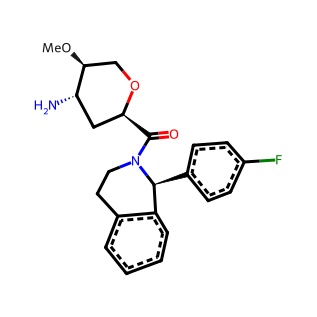 CO[C@H]1CO[C@@H](C(=O)N2CCc3ccccc3[C@@H]2c2ccc(F)cc2)C[C@@H]1N